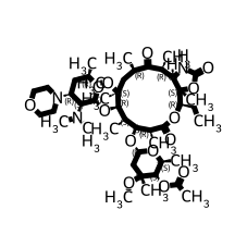 CC[C@H]1OC(=O)[C@H](C)[C@@H](O[C@H]2C[C@@](C)(OC)[C@@H](OC(C)=O)[C@H](C)O2)[C@H](C)[C@@H](O[C@@H]2O[C@H](C)C[C@@H](N3CCOCC3)[C@@H]2N(C)C)[C@@](C)(OC)C[C@@H](C)C(=O)[C@H](C)[C@H]2NC(=O)O[C@@]21C